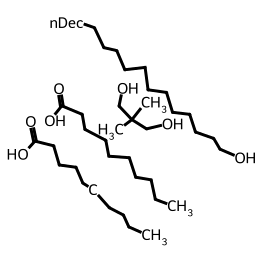 CC(C)(CO)CO.CCCCCCCCCC(=O)O.CCCCCCCCCC(=O)O.CCCCCCCCCCCCCCCCCCCCCCO